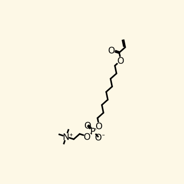 C=CC(=O)OCCCCCCCCCOP(=O)([O-])OCC[N+](C)(C)C